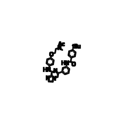 CC(=O)N(C)CCOc1ccc(Nc2nc(-c3cccc(NC(=O)c4ccc(C(C)(C)C)cc4)c3)cn3ccnc23)cc1